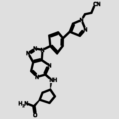 N#CCCn1cc(-c2ccc(-n3nnc4cnc(N[C@@H]5CC[C@@H](C(N)=O)C5)nc43)cc2)cn1